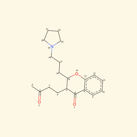 CC(=O)CCC1C(=O)c2ccccc2OC1CCCN1CCCC1